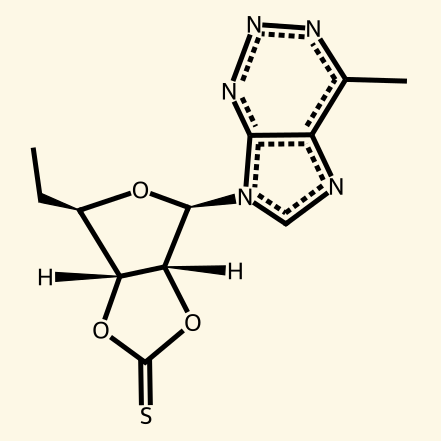 CC[C@H]1O[C@@H](n2cnc3c(C)nnnc32)[C@@H]2OC(=S)O[C@@H]21